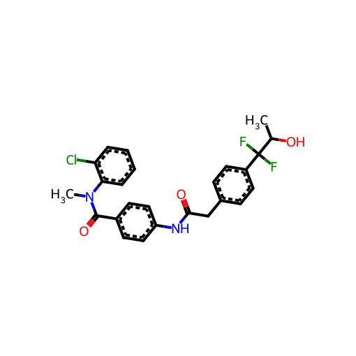 CC(O)C(F)(F)c1ccc(CC(=O)Nc2ccc(C(=O)N(C)c3ccccc3Cl)cc2)cc1